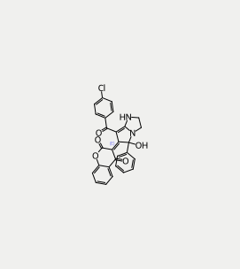 O=C1Oc2ccccc2C(=O)/C1=C1/C(C(=O)c2ccc(Cl)cc2)=C2NCCN2C1(O)c1ccccc1